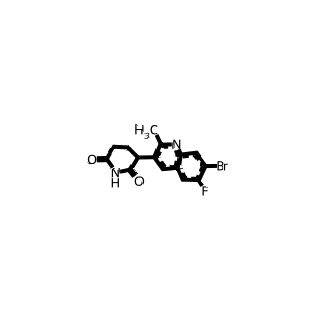 Cc1nc2cc(Br)c(F)cc2cc1C1CCC(=O)NC1=O